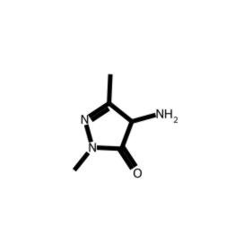 CC1=NN(C)C(=O)C1N